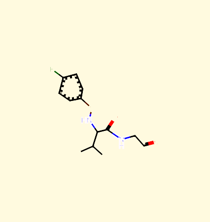 CC(C)C(NSc1ccc(F)cc1)C(=O)NCC=O